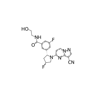 N#Cc1cnn2ccc(N3C[C@@H](F)C[C@@H]3c3cc(F)cc(C(=O)NCCO)c3)nc12